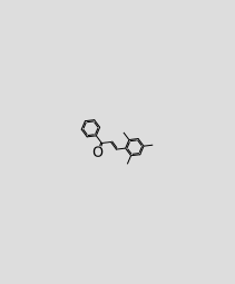 Cc1cc(C)c(C=CC(=O)c2ccccc2)c(C)c1